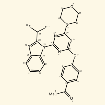 COC(=O)c1ccc(Oc2nc(N3CCOCC3)nc(-n3c(C(F)F)nc4ccccc43)n2)cc1